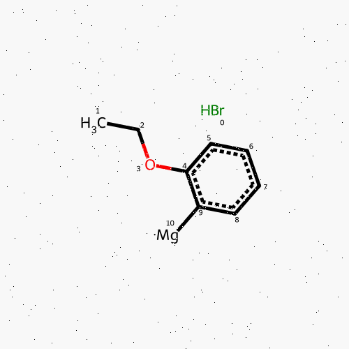 Br.CCOc1cccc[c]1[Mg]